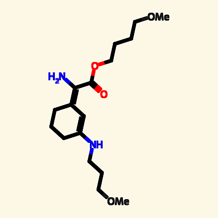 COCCCCOC(=O)/C(N)=C1\C=C(NCCCOC)CCC1